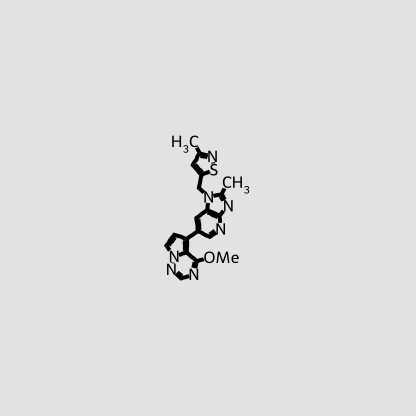 COc1ncnn2ccc(-c3cnc4nc(C)n(Cc5cc(C)ns5)c4c3)c12